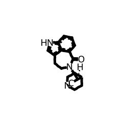 O=C1c2cccc3[nH]cc(c23)CCN1[C@@H]1CN2CCC1CC2